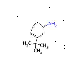 CC(C)(C)C1=CCCC(N)C1